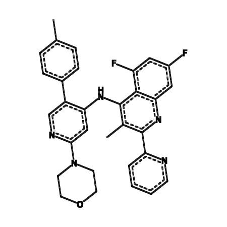 Cc1ccc(-c2cnc(N3CCOCC3)cc2Nc2c(C)c(-c3ccccn3)nc3cc(F)cc(F)c23)cc1